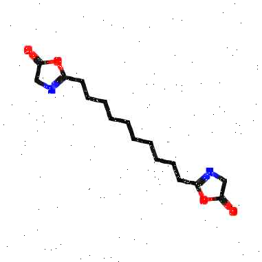 O=C1CN=C(CCCCCCCCCCC2=NCC(=O)O2)O1